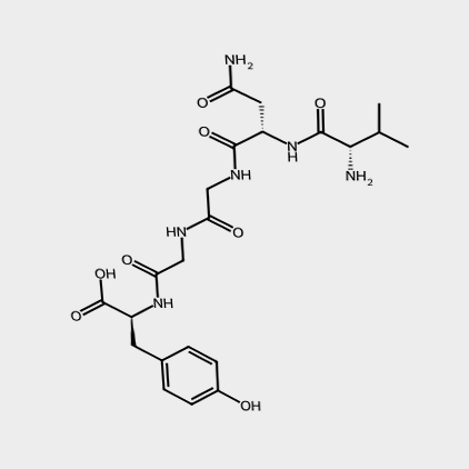 CC(C)[C@H](N)C(=O)N[C@@H](CC(N)=O)C(=O)NCC(=O)NCC(=O)N[C@@H](Cc1ccc(O)cc1)C(=O)O